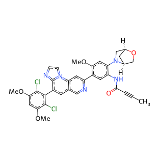 CC#CC(=O)Nc1cc(-c2cc3c(cn2)cc(-c2c(Cl)c(OC)cc(OC)c2Cl)c2nccn23)c(OC)cc1N1C[C@@H]2C[C@H]1CO2